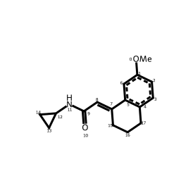 COc1ccc2c(c1)/C(=C/C(=O)NC1CC1)CCC2